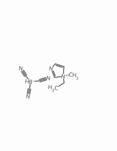 CC[N+]1(C)C=CN=C1.N#C[BH-](C#N)C#N